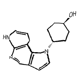 O[C@H]1CC[C@H](n2ccc3cnc4[nH]ccc4c32)CC1